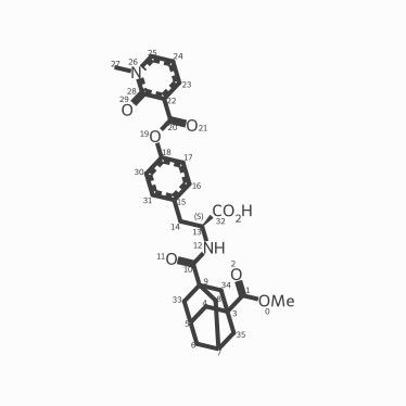 COC(=O)C12CC3CC(CC(C(=O)N[C@@H](Cc4ccc(OC(=O)c5cccn(C)c5=O)cc4)C(=O)O)(C3)C1)C2